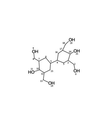 OCC1CC(C2CC(CO)C(O)C(CO)C2)CC(CO)C1O